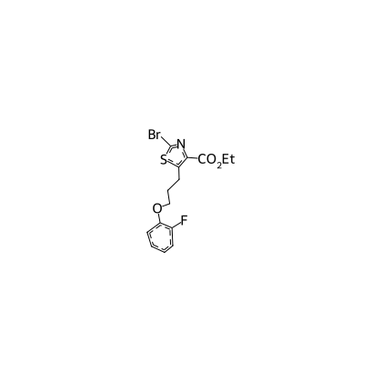 CCOC(=O)c1nc(Br)sc1CCCOc1ccccc1F